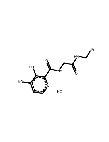 CC(C)CNC(=O)CNC(=O)c1nccc(O)c1O.Cl